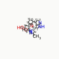 Cc1cc(C(=O)c2c[nH]c3nccc(-c4cccc(/C=C/C(=O)O)c4)c23)n(C)n1